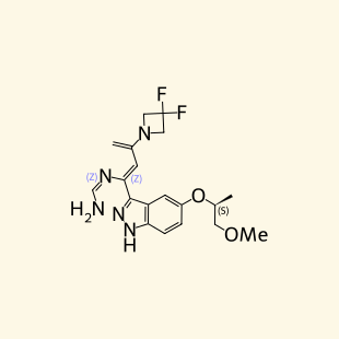 C=C(/C=C(\N=C/N)c1n[nH]c2ccc(O[C@@H](C)COC)cc12)N1CC(F)(F)C1